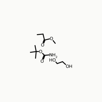 CC(C)(C)OC(N)=O.CCC(=O)OC.OCCO